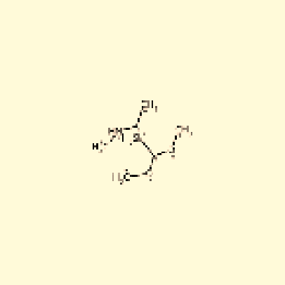 CCNC.COC([SiH3])OC